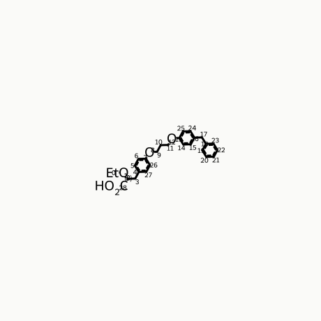 CCO[C@@H](Cc1ccc(OCCCOc2ccc(Cc3ccccc3)cc2)cc1)C(=O)O